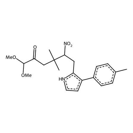 COC(OC)C(=O)CC(C)(C)C(Cc1[nH]ccc1-c1ccc(C)cc1)[N+](=O)[O-]